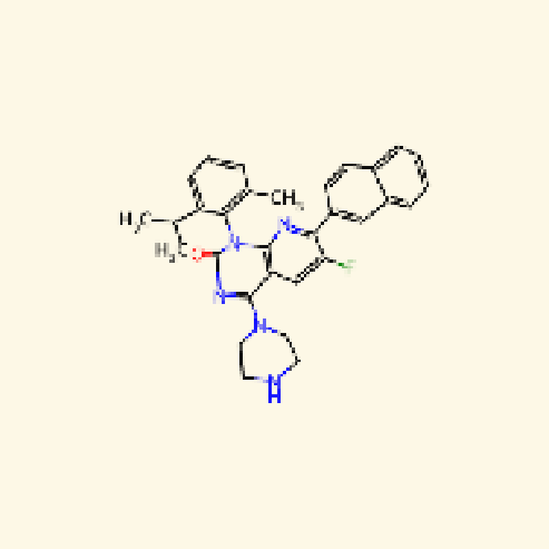 Cc1cccc(C(C)C)c1-n1c(=O)nc(N2CCNCC2)c2cc(F)c(-c3ccc4ccccc4c3)nc21